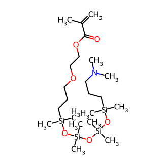 C=C(C)C(=O)OCCOCCC[Si](C)(C)O[Si](C)(C)O[Si](C)(C)O[Si](C)(C)CCCN(C)C